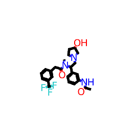 CC(=O)Nc1cccc(C(CN2CCC(O)C2)N(C)C(=O)Cc2cccc(C(F)(F)F)c2)c1